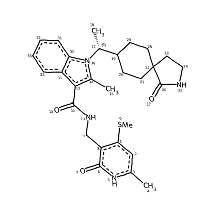 CSc1cc(C)[nH]c(=O)c1CNC(=O)c1c(C)n([C@H](C)C2CCC3(CCNC3=O)CC2)c2ccccc12